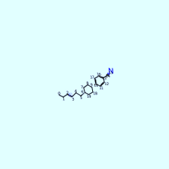 CC/C=C/CC[C@H]1CC[C@H](c2ccc(C#N)cc2)CC1